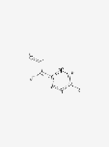 Cc1ccc(C(F)C=O)nc1